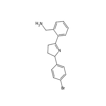 NCc1ccccc1C1=NC(c2ccc(Br)cc2)CC1